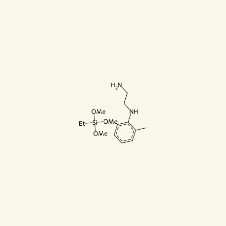 CC[Si](OC)(OC)OC.Cc1ccccc1NCCN